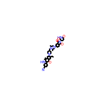 CCc1cc2c(cc1N1CCC(CN3C(C)CN(c4ccc5c(c4)C(=O)N(C4CCC(=O)NC4=O)C5=O)CC3C)CC1)C(C)(C)c1[nH]c3cc(C#N)ccc3c1C2=O